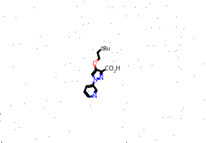 CC(C)(C)CCOc1cn(-c2cccnc2)nc1C(=O)O